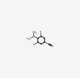 CN(C)c1c(F)cc(C#N)cc1F